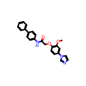 COc1cc(-n2ccnc2)ccc1OCC(=O)Nc1ccc(-c2ccccc2)cc1